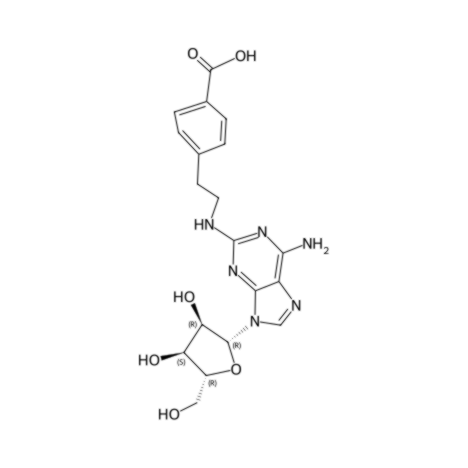 Nc1nc(NCCc2ccc(C(=O)O)cc2)nc2c1ncn2[C@@H]1O[C@H](CO)[C@@H](O)[C@H]1O